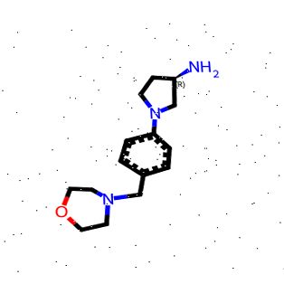 N[C@@H]1CCN(c2ccc(CN3CCOCC3)cc2)C1